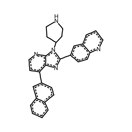 c1ccc2cc(-c3ccnc4c3nc(-c3ccc5ncccc5c3)n4C3CCNCC3)ccc2c1